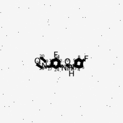 O=C(Nc1ccc(F)cc1)Nc1cc(F)cc(CN2CCOCC2)c1